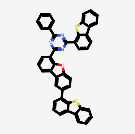 c1ccc(-c2nc(-c3cccc4c3oc3ccc(-c5cccc6c5sc5ccccc56)cc34)nc(-c3cccc4c3sc3ccccc34)n2)cc1